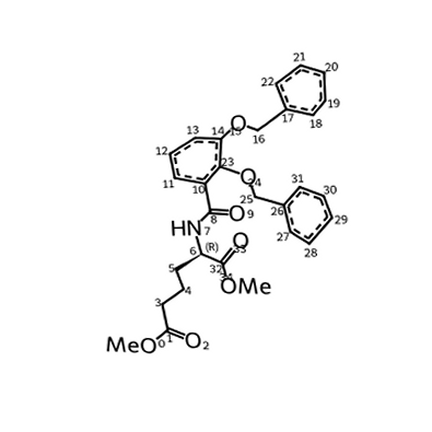 COC(=O)CCC[C@@H](NC(=O)c1cccc(OCc2ccccc2)c1OCc1ccccc1)C(=O)OC